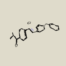 CC(C)C(=O)c1ccc(/C=C/c2cc[n+](Cc3ccccc3)cc2)cc1.[Cl-]